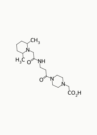 CC1CCCC(C)N1CC(=O)NCCC(=O)N1CCN(CC(=O)O)CC1